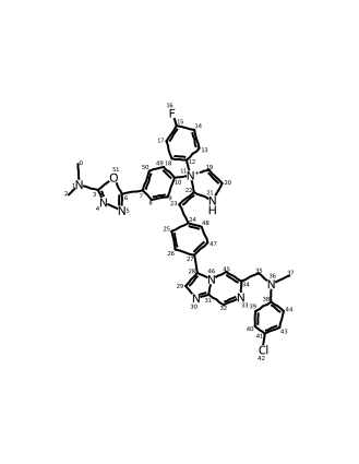 CN(C)c1nnc(-c2ccc([N+]3(c4ccc(F)cc4)C=CNC3=Cc3ccc(-c4cnc5cnc(CN(C)c6ccc(Cl)cc6)cn45)cc3)cc2)o1